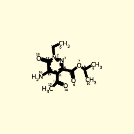 CCn1nc(C(=O)OC(C)C)c(C(C)=O)c(N)c1=O